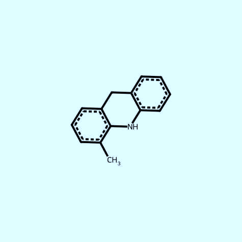 Cc1cccc2c1Nc1ccccc1C2